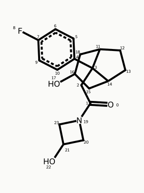 O=C(CC1(c2ccc(F)cc2)C2CCC1CC(O)C2)N1CC(O)C1